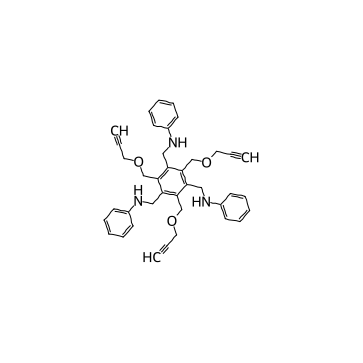 C#CCOCc1c(CNc2ccccc2)c(COCC#C)c(CNc2ccccc2)c(COCC#C)c1CNc1ccccc1